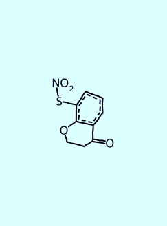 O=C1CCOc2c(S[N+](=O)[O-])cccc21